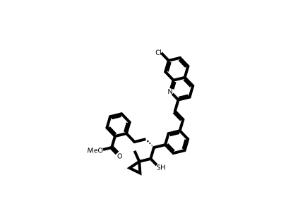 COC(=O)c1ccccc1CC[C@H](c1cccc(/C=C/c2ccc3ccc(Cl)cc3n2)c1)C(S)C1(C)CC1